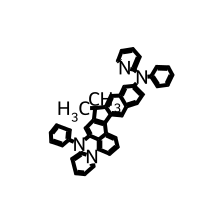 CC1(C)c2cc3cc(N(c4ccccc4)c4ccccn4)ccc3cc2-c2c1cc(N(c1ccccc1)c1ccccn1)c1ccccc21